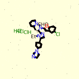 CCn1c(-c2ccc(-n3ccnc3)cc2)cnc1[C@H](Cc1ccccn1)N(C=O)c1cc2cc(Cl)ccc2o1.Cl.Cl.Cl